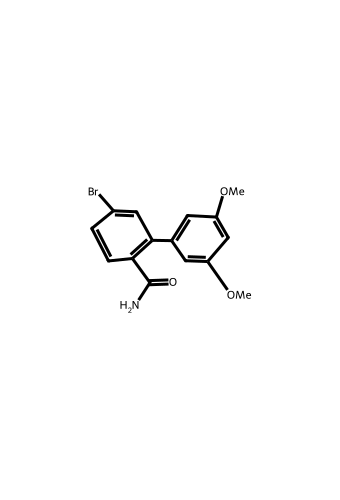 COc1cc(OC)cc(-c2cc(Br)ccc2C(N)=O)c1